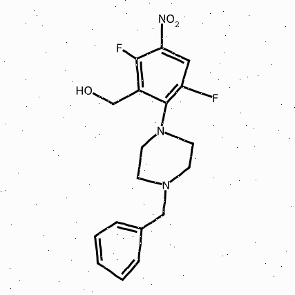 O=[N+]([O-])c1cc(F)c(N2CCN(Cc3ccccc3)CC2)c(CO)c1F